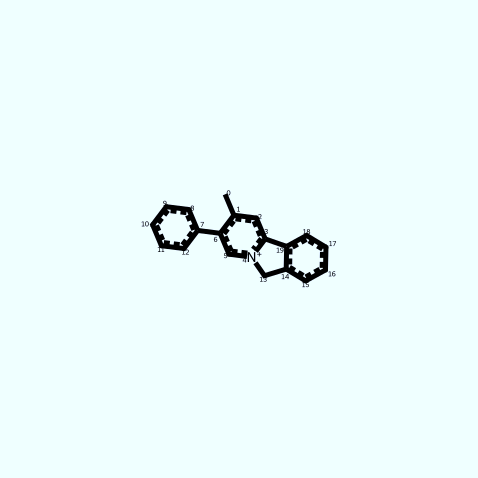 Cc1cc2[n+](cc1-c1ccccc1)Cc1ccccc1-2